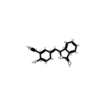 N#CC1=CC(=CC2OC(=O)c3ccccc32)CC=C1F